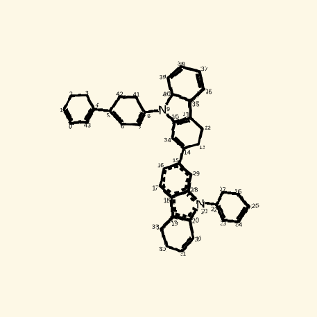 C1=CCCC(C2=CC=C(N3C4=C(CCC(c5ccc6c7c(n(C8=CC=CCC8)c6c5)C=CCC7)=C4)C4C=CC=CC43)CC2)=C1